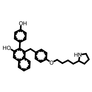 Oc1ccc(-c2c(O)cc3ccccc3c2Cc2ccc(OCCCCC3CCCN3)cc2)cc1